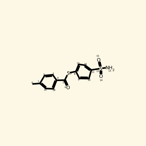 Cc1ccc(C(=O)Sc2ccc(S(N)(=O)=O)cc2)cc1